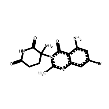 BC1(n2c(C)nc3cc(Br)cc(N)c3c2=O)CCC(=O)NC1=O